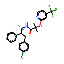 C[C@H](NC(=O)C(C)(C)Oc1cc(C(F)(F)F)ccn1)C(Cc1ccc(Cl)cc1)c1ccccc1